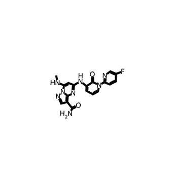 CNc1cc(Nc2cccn(-c3ccc(F)cn3)c2=O)nc2c(C(N)=O)cnn12